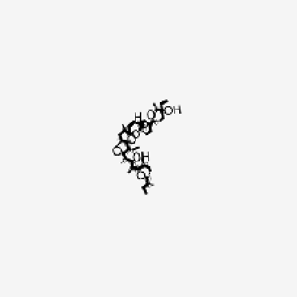 CC[C@H](C)[C@H]1CC[C@H](C)[C@H]([C@@H](C)[C@H](O)[C@H](C)C(=O)[C@H](CC)[C@H]2O[C@]3(C=C[C@H]4C[C@@]5([C@H]6CC[C@](O)(CC)[C@H](C)O6)CC[C@]4(O5)O3)[C@H](C)C[C@@H]2C)O1